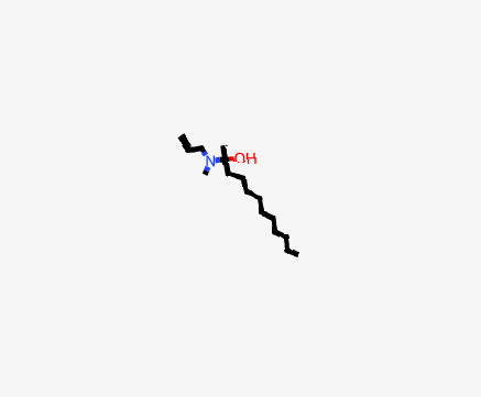 [CH2]C(O)(CCCCCCCCCC)N(C)CC=C